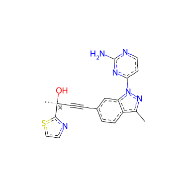 Cc1nn(-c2ccnc(N)n2)c2cc(C#C[C@](C)(O)c3nccs3)ccc12